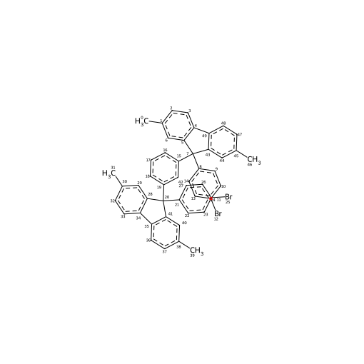 Cc1ccc2c(c1)C(c1ccc(Br)cc1)(c1cccc(C3(c4ccc(Br)cc4)c4cc(C)ccc4-c4ccc(C)cc43)c1)c1cc(C)ccc1-2